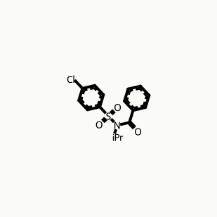 CC(C)N(C(=O)c1ccccc1)S(=O)(=O)c1ccc(Cl)cc1